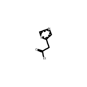 CCC(=O)Cc1cncs1